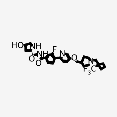 O=C(NC(=O)[C@@H]1C[C@@H](O)CN1)c1ccc(-c2ccc(OCC3CCN(CC4(C(F)(F)F)CCC4)CC3)cn2)c(F)c1